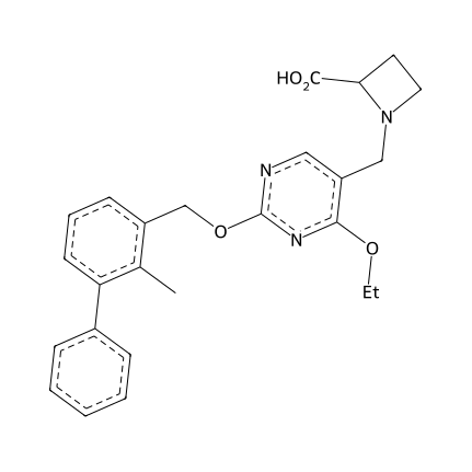 CCOc1nc(OCc2cccc(-c3ccccc3)c2C)ncc1CN1CCC1C(=O)O